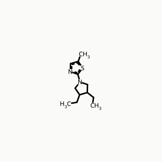 CCC1CN(c2ncc(C)s2)CC1CC